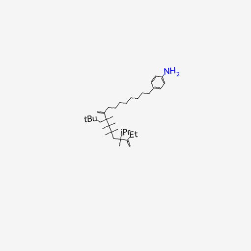 C=C(CC)C(C)(CC(C)(C)C(C)(C)C(C)(CC(C)(C)C)C(=C)CCCCCCCCc1ccc(N)cc1)C(C)C